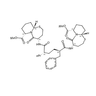 CCC[C@@H](CC[C@H](Cc1ccccc1)C(=O)N[C@H]1CCS[C@H]2CCC[C@@H](C(=O)OC)N2C1=O)C(=O)N[C@H]1CCS[C@H]2CCC[C@@H](C(=O)OC)N2C1=O